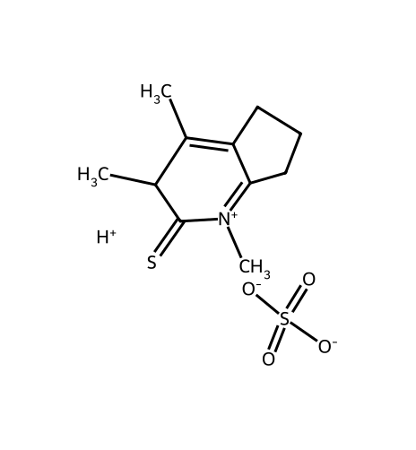 CC1=C2CCCC2=[N+](C)C(=S)C1C.O=S(=O)([O-])[O-].[H+]